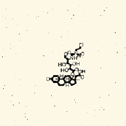 C[C@]12CCC(=O)C=C1CC[C@@H]1[C@@H]2CC[C@@]2(C)[C@H]1CC[C@]2(C)[C@H](OC(=O)[C@@H](O)[C@@H](O)[C@H](O)[C@H](C=O)NC(=O)N(CCCl)N=O)C(=O)O